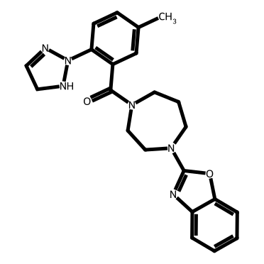 Cc1ccc(N2N=CCN2)c(C(=O)N2CCCN(c3nc4ccccc4o3)CC2)c1